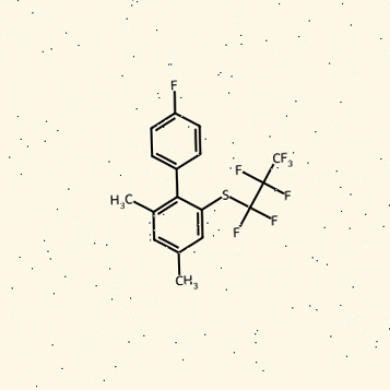 Cc1[c]c(C)c(-c2ccc(F)cc2)c(SC(F)(F)C(F)(F)C(F)(F)F)c1